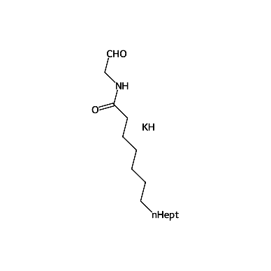 CCCCCCCCCCCCCC(=O)NCC=O.[KH]